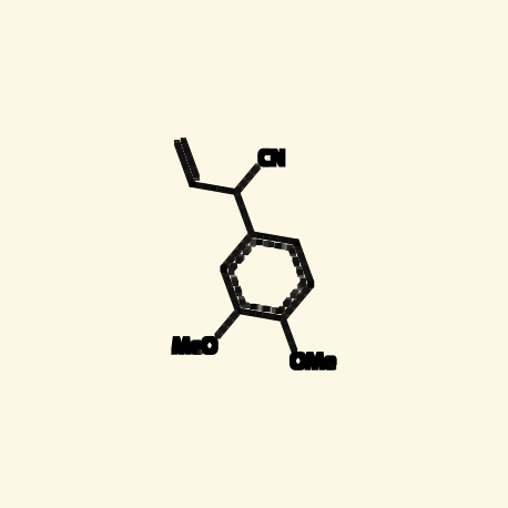 C=CC(C#N)c1ccc(OC)c(OC)c1